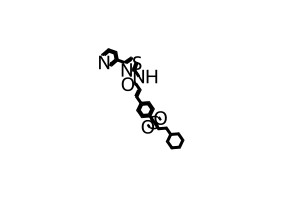 O=C(C=Cc1ccc(S(=O)(=O)CCC2CCCCC2)cc1)Nc1nc(-c2cccnc2)cs1